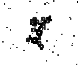 COCOc1ccc(C(C)=O)cc1Sc1ccc(CC[C@@](C)(COP(=O)(OC)OC)NC(=O)OC(C)(C)C)c(Cl)c1